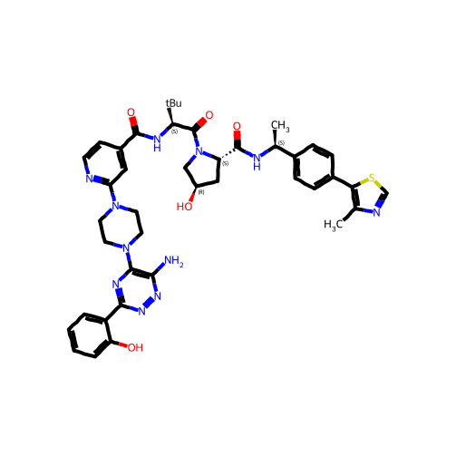 Cc1ncsc1-c1ccc([C@H](C)NC(=O)[C@@H]2C[C@@H](O)CN2C(=O)[C@@H](NC(=O)c2ccnc(N3CCN(c4nc(-c5ccccc5O)nnc4N)CC3)c2)C(C)(C)C)cc1